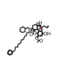 C=CCN1CC[C@]23c4c5c(O)cc(OC(C)=O)c4O[C@H]2[C@H](N(CC2CCCCC2)C(=O)CCCCCCCCCCc2ccccc2)CC[C@H]3[C@H]1C5